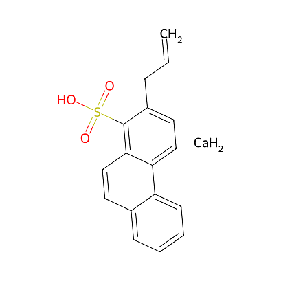 C=CCc1ccc2c(ccc3ccccc32)c1S(=O)(=O)O.[CaH2]